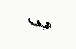 N#CCCCCOc1cccc(CNC(=O)c2ccc3ncccc3c2)c1